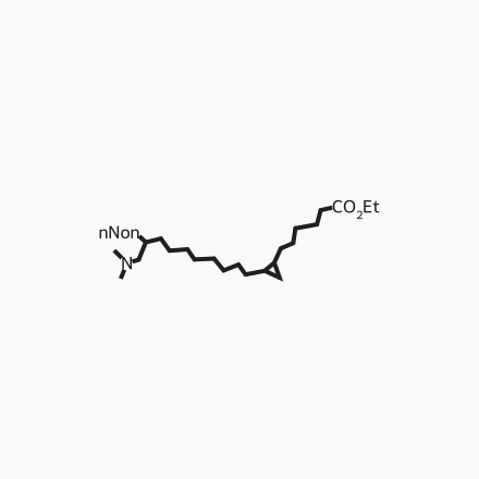 CCCCCCCCCC(CCCCCCCCC1CC1CCCCCC(=O)OCC)CN(C)C